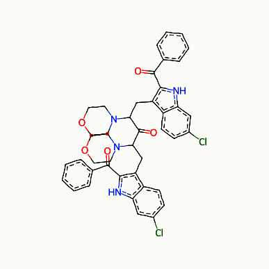 O=C(c1ccccc1)c1[nH]c2cc(Cl)ccc2c1CC(C(=O)C(Cc1c(C(=O)c2ccccc2)[nH]c2cc(Cl)ccc12)N1CCOCC1)N1CCOCC1